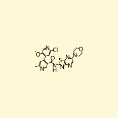 COc1cnc(Cl)cc1-c1cc(C)ncc1C(=O)Nc1nc2ncc(N3CCOCC3)nc2s1